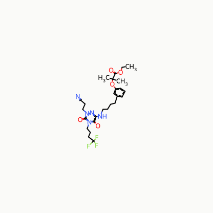 CCOC(=O)C(C)(C)Oc1cccc(CCCCNc2nn(CCC#N)c(=O)n(CCCC(F)(F)F)c2=O)c1